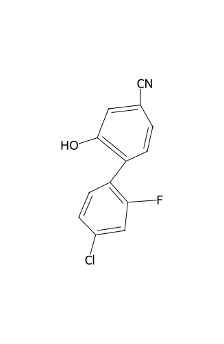 N#Cc1ccc(-c2ccc(Cl)cc2F)c(O)c1